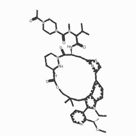 CCn1c(-c2cccnc2[C@H](C)OC)c2c3cc(ccc31)-c1csc(n1)C[C@H](NC(=O)C(C(C)C)N(C)C(=O)N1CCN(C(C)=O)CC1)C(=O)N1CCC[C@H](N1)C(=O)OCC(C)(C)C2